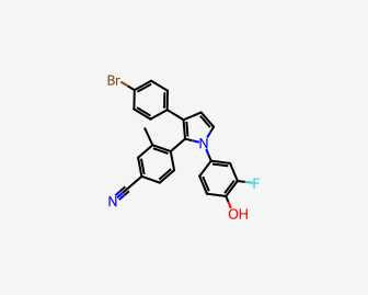 Cc1cc(C#N)ccc1-c1c(-c2ccc(Br)cc2)ccn1-c1ccc(O)c(F)c1